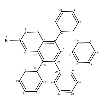 Brc1ccc2c(-c3ccccc3)c(-c3ccccc3)c(-c3ccccc3)c(-c3ccccc3)c2c1